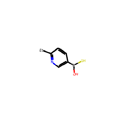 CCc1ccc(B(O)S)cn1